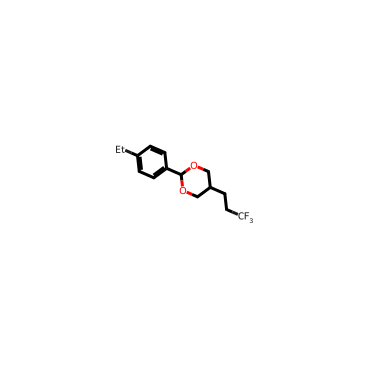 CCc1ccc(C2OCC(CCC(F)(F)F)CO2)cc1